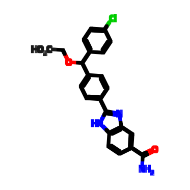 NC(=O)c1ccc2[nH]c(-c3ccc(C(OCC(=O)O)c4ccc(Cl)cc4)cc3)nc2c1